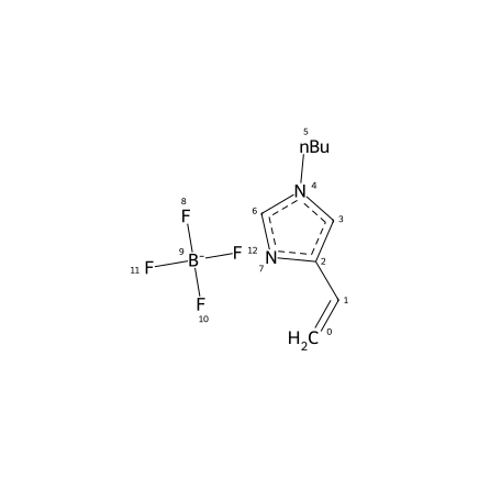 C=Cc1cn(CCCC)cn1.F[B-](F)(F)F